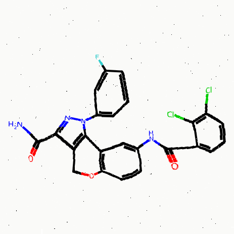 NC(=O)c1nn(-c2cccc(F)c2)c2c1COc1ccc(NC(=O)c3cccc(Cl)c3Cl)cc1-2